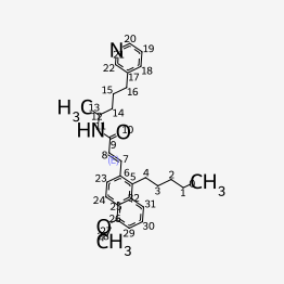 CCCCCc1c(/C=C/C(=O)NC(C)CCCc2cccnc2)ccc2c(OC)cccc12